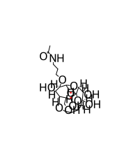 CC(=O)NCCCO[C@H]1C2O[C@H]3[C@H](O)[C@@H](O)[C@@H](CCCO[C@@H]([C@@H]1O)[C@@H](CO)O2)O[C@@H]3CO